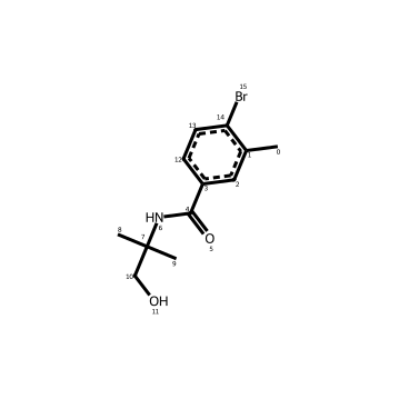 Cc1cc(C(=O)NC(C)(C)CO)ccc1Br